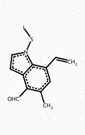 C=Cc1cc(C)c(C=O)c2ccn(SI)c12